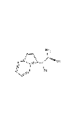 C[C@H](N)[C@H](O)c1ccn2ccccc12